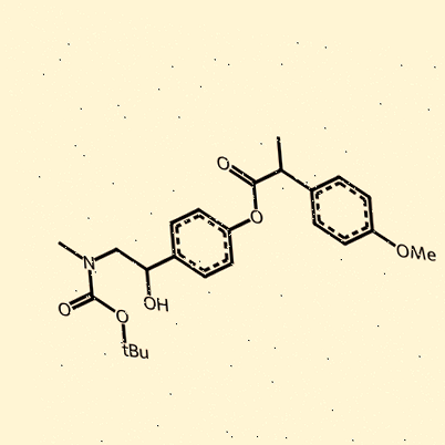 COc1ccc(C(C)C(=O)Oc2ccc(C(O)CN(C)C(=O)OC(C)(C)C)cc2)cc1